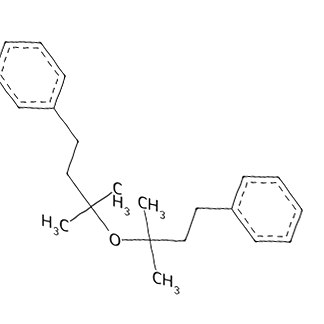 CC(C)(CCc1ccccc1)OC(C)(C)CCc1ccccc1